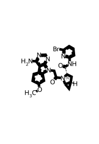 COc1ccc2c3c(N)ncnc3n(CC(=O)N3C4C[C@@H]4C[C@H]3C(=O)Nc3cccc(Br)n3)c2c1